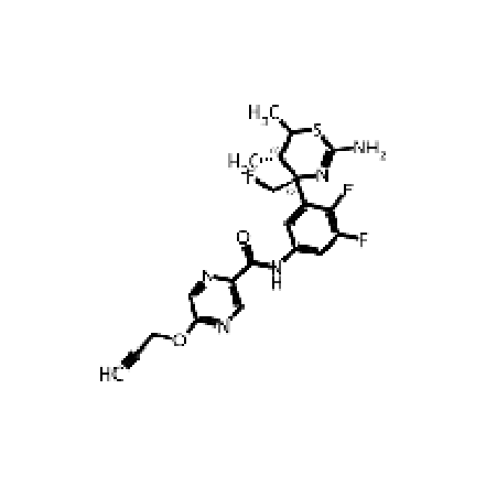 C#CCOc1cnc(C(=O)Nc2cc(F)c(F)c([C@@]3(CF)N=C(N)SC(C)[C@H]3C)c2)cn1